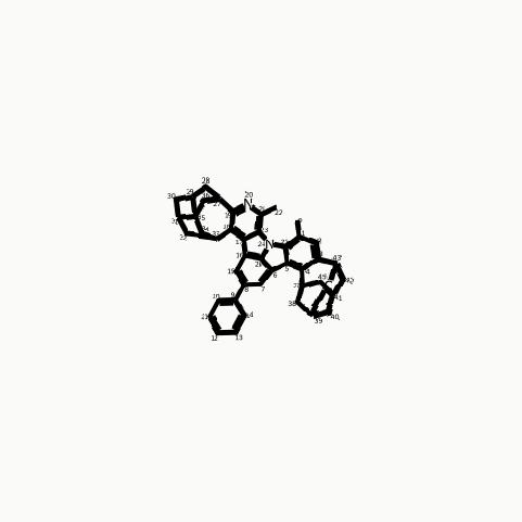 Cc1cc2c(c3c4cc(-c5ccccc5)cc5c6c7c(nc(C)c6n(c13)c45)C1CC3CC4CC7CC34C1)C1CC3CC(CC2C3)C1